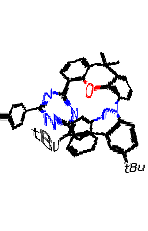 CC(C)(C)c1ccc2c(c1)c1cc(C(C)(C)C)ccc1n2-c1cccc2c1Oc1c(-c3nc(C4=CCCC=C4)nc(-c4ccccc4)n3)cccc1C2(C)C